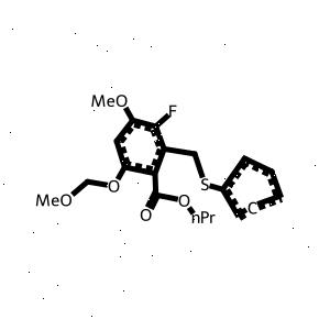 CCCOC(=O)c1c(OCOC)cc(OC)c(F)c1CSc1ccccc1